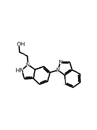 OCCN1NC=C2C=CC(n3ncc4ccc[c]c43)=CC21